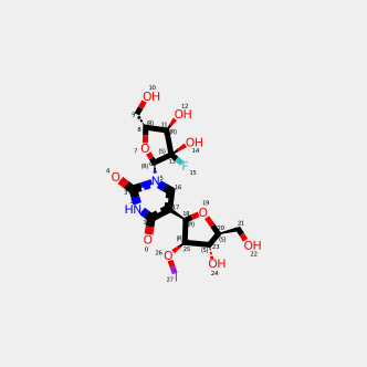 O=c1[nH]c(=O)n([C@@H]2O[C@H](CO)[C@@H](O)[C@]2(O)F)cc1[C@H]1O[C@@H](CO)[C@H](O)[C@H]1OI